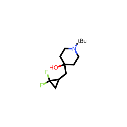 CC(C)(C)N1CCC(O)(CC2CC2(F)F)CC1